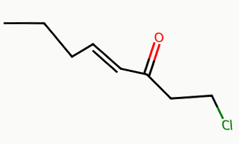 CCC/C=C/C(=O)CCCl